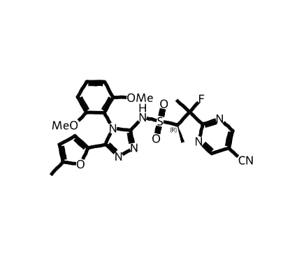 COc1cccc(OC)c1-n1c(NS(=O)(=O)[C@H](C)C(C)(F)c2ncc(C#N)cn2)nnc1-c1ccc(C)o1